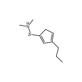 CCCC1=CC[C]([Zr][SiH](C)C)=C1